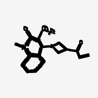 C=CC(=O)C1CN(c2c(C(=O)OCC)c(=O)n(C)c3ccccc23)C1